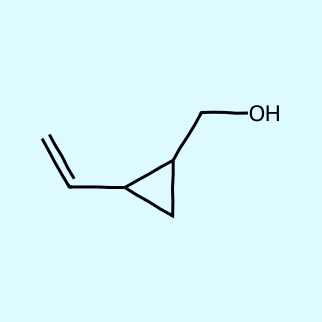 C=CC1CC1CO